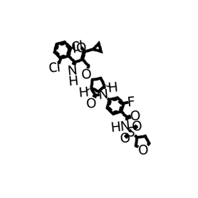 N=C(/C(CO[C@@H]1C[C@@H]2C[C@H]1C(=O)N2c1ccc(C(=O)NS(=O)(=O)C2CCOC2)c(F)c1)=C(\O)C1CC1)c1c(Cl)cccc1Cl